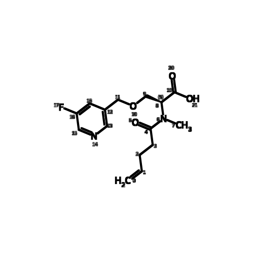 C=CCCC(=O)N(C)[C@@H](COCc1cncc(F)c1)C(=O)O